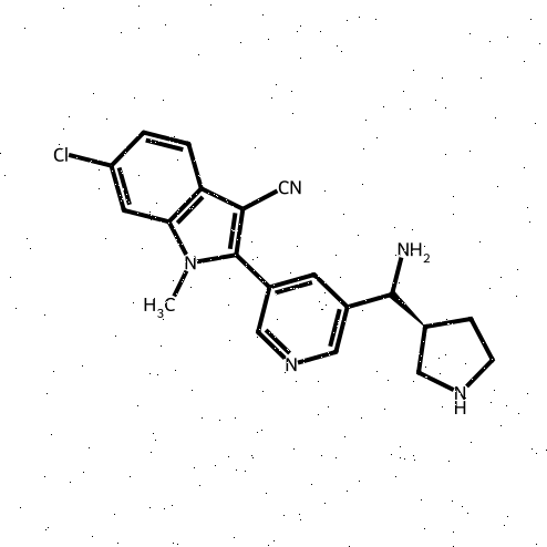 Cn1c(-c2cncc(C(N)[C@H]3CCNC3)c2)c(C#N)c2ccc(Cl)cc21